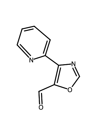 O=Cc1ocnc1-c1ccccn1